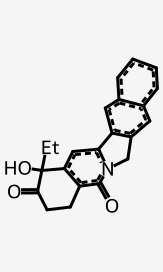 CCC1(O)C(=O)CCc2c1cc1n(c2=O)Cc2cc3ccccc3cc2-1